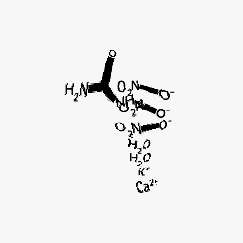 NC(N)=O.O.O.O=[N+]([O-])[O-].O=[N+]([O-])[O-].O=[N+]([O-])[O-].[Ca+2].[K+]